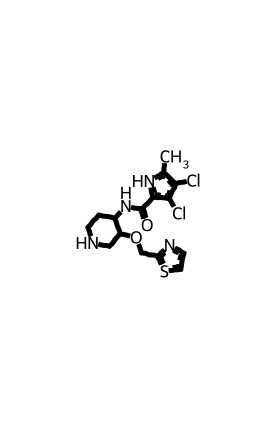 Cc1[nH]c(C(=O)NC2CCNCC2OCc2nccs2)c(Cl)c1Cl